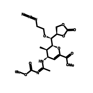 COC(=O)C1=C[C@H](N/C(C)=N\C(=O)OC(C)(C)C)[C@@H](C)[C@H]([C@H](OCCN=[N+]=[N-])[C@H]2COC(=O)O2)O1